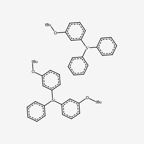 CC(C)(C)Oc1cccc([S+](c2ccccc2)c2cccc(OC(C)(C)C)c2)c1.CC(C)(C)Oc1cccc([S+](c2ccccc2)c2ccccc2)c1